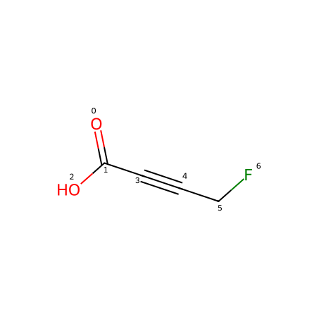 O=C(O)C#CCF